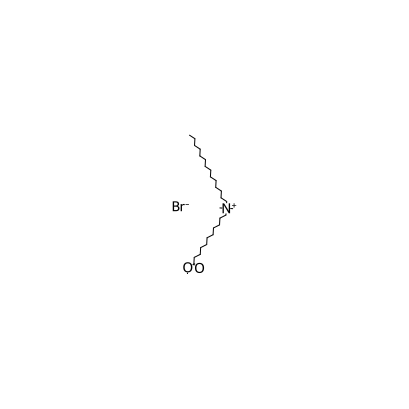 CCCCCCCCCCCCCC[N+](C)(C)CCCCCCCCCCC(=O)OC.[Br-]